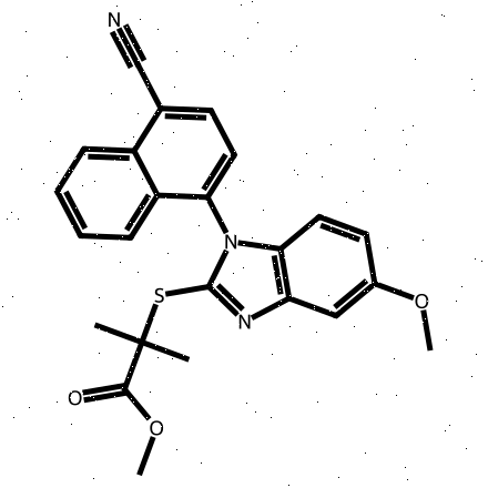 COC(=O)C(C)(C)Sc1nc2cc(OC)ccc2n1-c1ccc(C#N)c2ccccc12